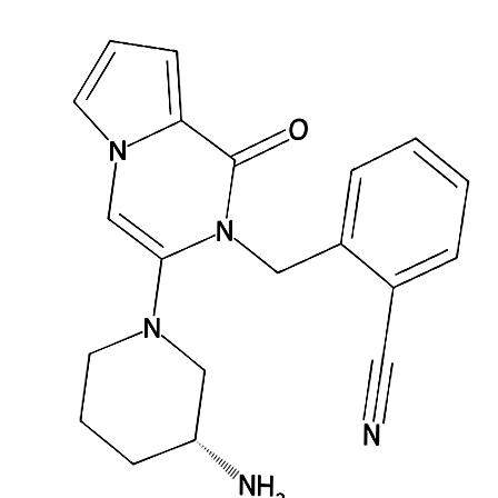 N#Cc1ccccc1Cn1c(N2CCC[C@@H](N)C2)cn2cccc2c1=O